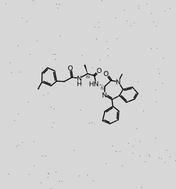 Cc1cccc(CC(=O)N[C@@H](C)C(=O)N[C@H]2N=C(c3ccccc3)c3ccccc3N(C)C2=O)c1